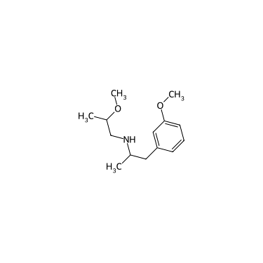 COc1cccc(CC(C)NCC(C)OC)c1